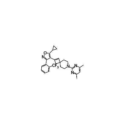 Cc1cc(C)nc(N2CCC3(C=C(c4c(-c5ccccc5C(F)(F)F)noc4C4CC4)C3)CC2)n1